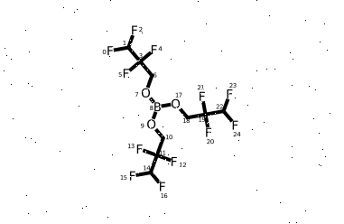 FC(F)C(F)(F)COB(OCC(F)(F)C(F)F)OCC(F)(F)C(F)F